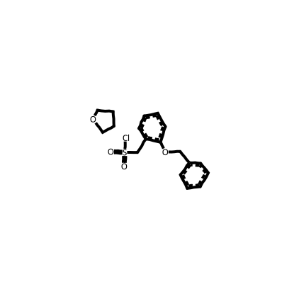 C1CCOC1.O=S(=O)(Cl)Cc1ccccc1OCc1ccccc1